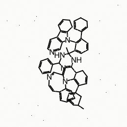 C=C1/C=N\C=C/c2ccccc2N1C1=C(C2=CC=CC(C)C2)C=CCC1C1=NC(c2ccccc2)NC(C)(c2cccc(C3=CCCC=C3)c2-n2c3c(c4ccncc42)C=CCC3)N1